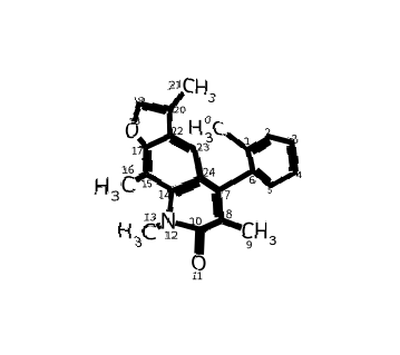 Cc1ccccc1-c1c(C)c(=O)n(C)c2c(C)c3occ(C)c3cc12